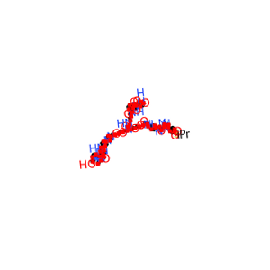 C=CCn1c(=O)c2cnc(Nc3ccc(N4CCN(CCOCCOCCN(CCOCCOCC(=O)N(C)Cc5ccc(-c6cc(-c7nc(-c8ccc(S(=O)(=O)C(C)C)cc8)cnc7N)on6)cc5)C(=O)CNCCCC(=O)Nc5cccc6c5C(=O)N(C5CCC(=O)NC5=O)C6=O)CC4)cc3)nc2n1-c1cccc(C(C)(C)O)n1